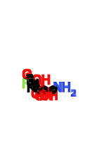 C[C@]12C=CC(=O)C=C1[C@@H](F)C[C@H]1[C@@H]3C[C@@H](O)[C@](Oc4ccc(Oc5ccc(N)cc5)c(O)c4)(C(=O)CO)[C@@]3(C)C[C@H](O)[C@@]12F